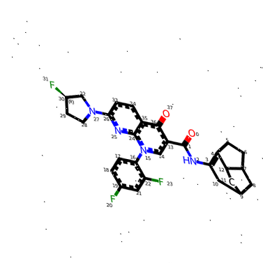 O=C(NC1=C2CCC3CC(C1)CC23)c1cn(-c2ccc(F)cc2F)c2nc(N3CC[C@@H](F)C3)ccc2c1=O